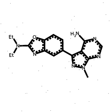 CCN(CC)c1nc2cc(-c3nn(C)c4ncnc(N)c34)ccc2o1